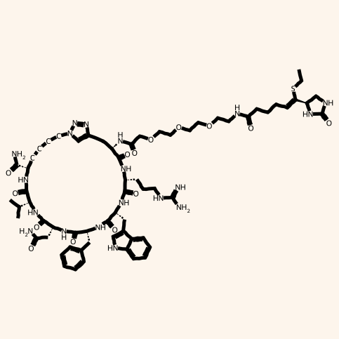 CCS/C(=C\CCCC(=O)NCCOCCOCCOCC(=O)N[C@H]1Cc2cn(nn2)CCCC[C@@H](C(N)=O)NC(=O)[C@@H](C(C)C)NC(=O)[C@@H](CC(N)=O)NC(=O)[C@@H](Cc2ccccc2)NC(=O)[C@@H](Cc2c[nH]c3ccccc23)NC(=O)[C@@H](CCCNC(=N)N)NC1=O)[C@H]1CNC(=O)N1